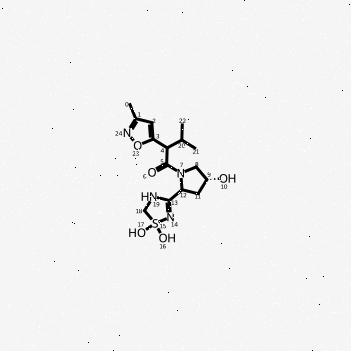 Cc1cc(C(C(=O)N2C[C@H](O)CC2C2=NS(O)(O)CN2)C(C)C)on1